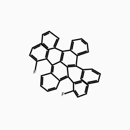 Fc1ccccc1-c1c2ccccc2c(-c2ccccc2F)c2c(-c3ccccc3)c3ccccc3c(-c3ccccc3)c12